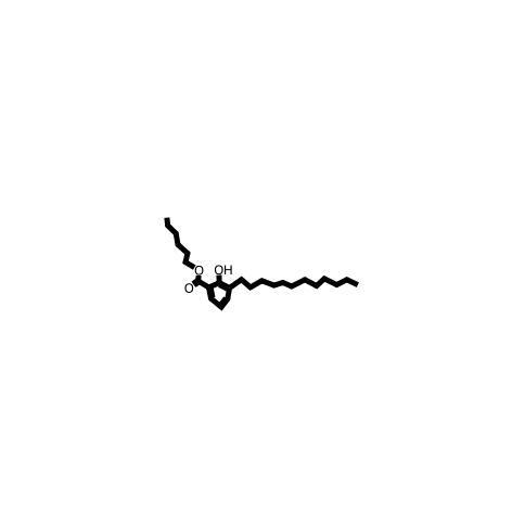 CCCCCCCCCCCCc1cccc(C(=O)OCCCCCC)c1O